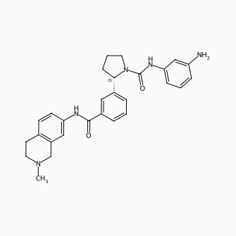 CN1CCc2ccc(NC(=O)c3cccc([C@@H]4CCCN4C(=O)Nc4cccc(N)c4)c3)cc2C1